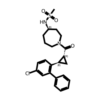 CS(=O)(=O)N[C@@H]1CCCN(C(=O)[C@@H]2C[C@H]2c2ccc(Cl)cc2-c2ccccc2)CC1